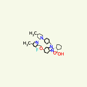 Cc1cnc(COc2ccc3nc([C@@H]4CCCC[C@@H]4C(=O)O)n(Cc4ccc(N5CCC(C)CC5)cc4)c3c2)c(F)c1